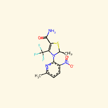 Cc1ccc([N+](=O)[O-])c(N2C(C(F)(F)F)=C(C(N)=O)SC2C)n1